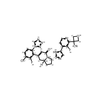 N#CC1(c2nccc(-c3cnc([C@@H]4CC[C@@H]5CC(c6c(-n7cnnn7)ccc(Cl)c6F)=CC(=O)N54)[nH]3)c2F)COC1